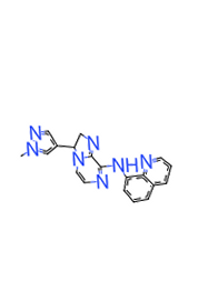 Cn1cc(C2CN=C3C(Nc4cccc5cccnc45)=NC=CN32)cn1